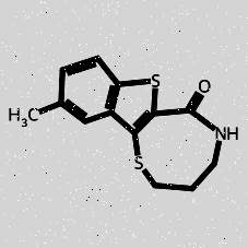 Cc1ccc2sc3c(c2c1)SCCCNC3=O